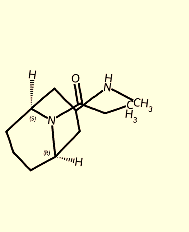 CCC(=O)N1[C@@H]2CCC[C@H]1CC(NC)C2